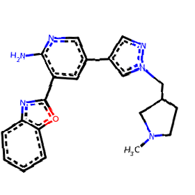 CN1CCC(Cn2cc(-c3cnc(N)c(-c4nc5ccccc5o4)c3)cn2)C1